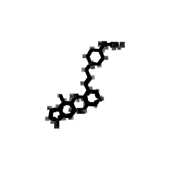 Cc1c(Nc2c(C#N)cncc2C=CCN2CCC(NC(=O)O)CC2)ccc2[nH]ccc12